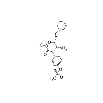 COC(=O)C(c1ccc(OS(C)(=O)=O)cc1)C(N)C(=O)OCc1ccccc1